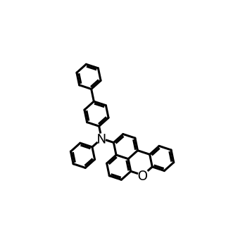 c1ccc(-c2ccc(N(c3ccccc3)c3ccc4c5c(cccc35)Oc3ccccc3-4)cc2)cc1